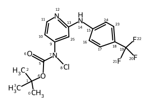 CC(C)(C)OC(=O)N(Cl)c1ccnc(Nc2ccc(C(F)(F)F)cc2)c1